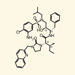 CC[C@H](C)[C@@H](C(=O)N[C@@H](Cc1ccccc1)[C@@H](O)CN(CC(C)C)S(=O)(=O)c1ccc(Cl)c(N)c1)N1CCN(Cc2ccc3ccccc3n2)C1=O